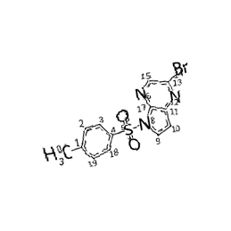 Cc1ccc(S(=O)(=O)n2ccc3nc(Br)cnc32)cc1